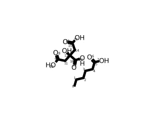 CCCCCC(=O)O.O=C(O)CC(O)(CC(=O)O)C(=O)O